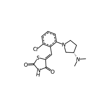 CN(C)[C@H]1CCN(c2cccc(Cl)c2/C=C2\SC(=O)NC2=O)C1